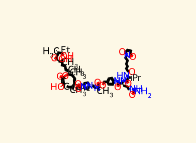 CC[C@H](O)[C@@H](C)[C@H]1O[C@@H]1C[C@@](C)(O)/C=C/C=C(\C)[C@H]1OC(=O)C[C@H](O)CC[C@@](C)(OC(C)=O)[C@@H](OC(=O)N2CCN(CCN(C)C(=O)OCc3ccc(NC(=O)[C@H](CCCNC(N)=O)NC(=O)C(NC(=O)CCCCCN4C(=O)C=CC4=O)C(C)C)cc3)CC2)/C=C/[C@@H]1C